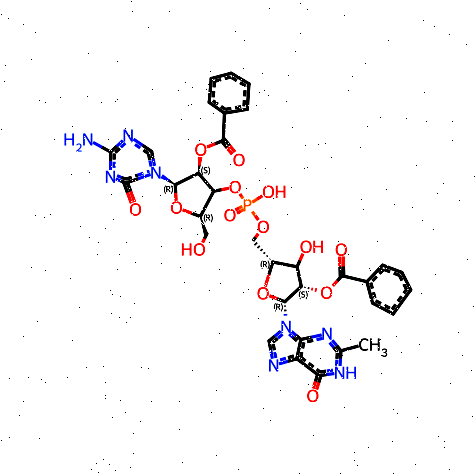 Cc1nc2c(ncn2[C@@H]2O[C@H](COP(=O)(O)OC3[C@@H](CO)O[C@@H](n4cnc(N)nc4=O)[C@H]3OC(=O)c3ccccc3)C(O)[C@@H]2OC(=O)c2ccccc2)c(=O)[nH]1